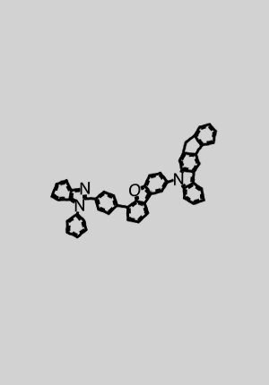 c1ccc(-n2c(-c3ccc(-c4cccc5c4oc4ccc(-n6c7ccccc7c7cc8c(cc76)Cc6ccccc6-8)cc45)cc3)nc3ccccc32)cc1